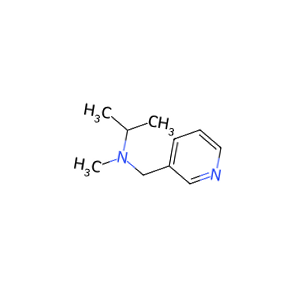 CC(C)N(C)Cc1cccnc1